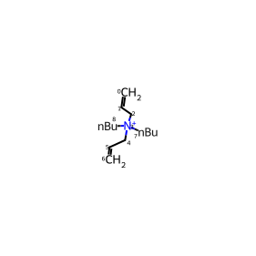 C=CC[N+](CC=C)(CCCC)CCCC